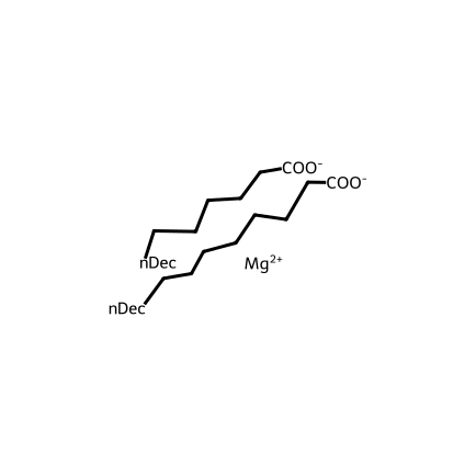 CCCCCCCCCCCCCCCC(=O)[O-].CCCCCCCCCCCCCCCCCC(=O)[O-].[Mg+2]